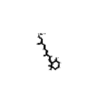 COC/C=C(C)/C=C/C=C(C)/C=C/C1C(C)CCCC1(C)C